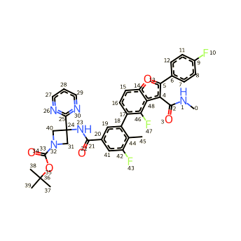 CNC(=O)c1c(-c2ccc(F)cc2)oc2ccc(-c3cc(C(=O)NC4(c5ncccn5)CN(C(=O)OC(C)(C)C)C4)cc(F)c3C)c(F)c12